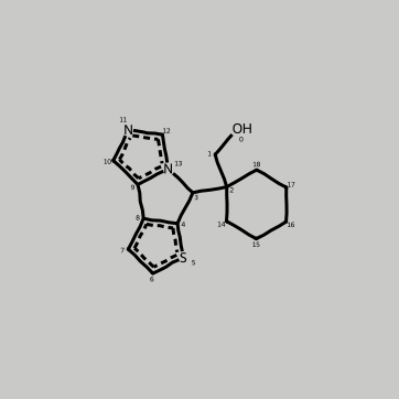 OCC1(C2c3sccc3-c3cncn32)CCCCC1